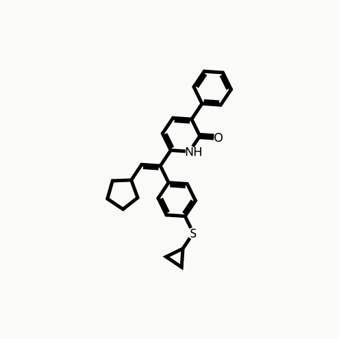 O=c1[nH]c(/C(=C/C2CCCC2)c2ccc(SC3CC3)cc2)ccc1-c1ccccc1